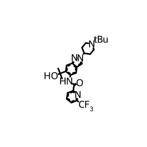 CC(C)(O)c1cc2nn(C3CCN(C(C)(C)C)CC3)cc2cc1NC(=O)c1cccc(C(F)(F)F)n1